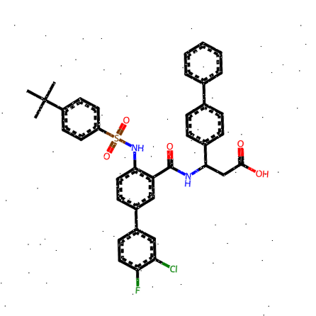 CC(C)(C)c1ccc(S(=O)(=O)Nc2ccc(-c3ccc(F)c(Cl)c3)cc2C(=O)NC(CC(=O)O)c2ccc(-c3ccccc3)cc2)cc1